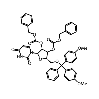 COc1ccc(C(OC[C@H]2O[C@@H](n3ccc(=O)[nH]c3=O)[C@@H](OC(=O)OCc3ccccc3)C2OC(=O)OCc2ccccc2)(c2ccccc2)c2ccc(OC)cc2)cc1